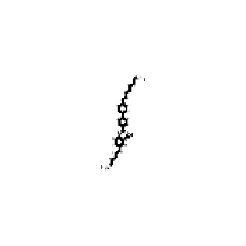 CCCCCCCCC1CCC(c2ccc(C(=O)Oc3ccc(CCCCCC)cc3C#N)cc2)CC1